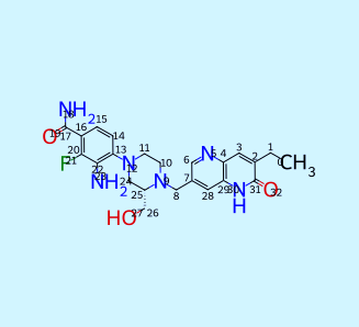 CCc1cc2ncc(CN3CCN(c4ccc(C(N)=O)c(F)c4N)C[C@H]3CO)cc2[nH]c1=O